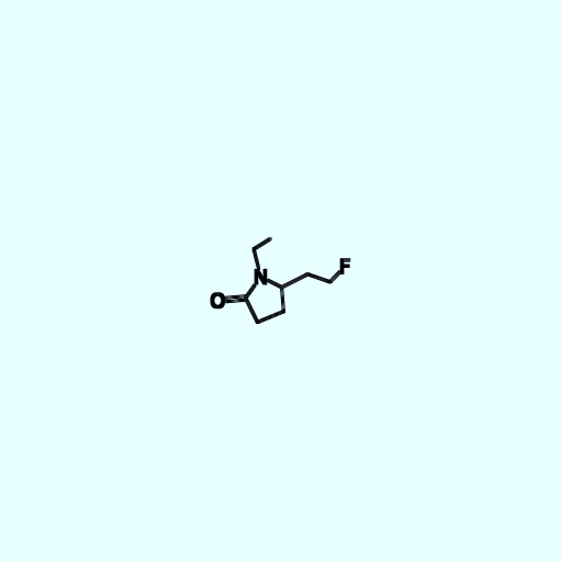 CCN1C(=O)CCC1CCF